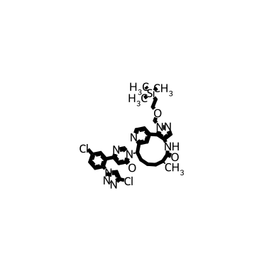 C[C@@H]1CCC[C@H](n2cnc(-c3cc(Cl)ccc3-n3cc(Cl)nn3)cc2=O)c2cc(ccn2)-c2c(cnn2COCC[Si](C)(C)C)NC1=O